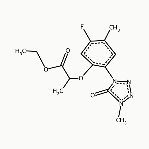 CCOC(=O)C(C)Oc1cc(F)c(C)cc1-n1nnn(C)c1=O